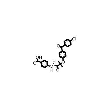 CC(C)(Oc1ccc(C(=O)c2ccc(Cl)cc2)cc1)C(=O)NNc1ccc(C(=O)O)cc1